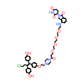 O=C1CCC(N2Cc3c(NCCOCCOCCOCCOCCC(=O)N4CCN(CCOc5ccc(C(=C(CCCl)c6ccc(O)cc6)c6ccc(O)cc6)cc5)CC4)cccc3C2=O)C(=O)N1